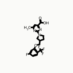 Cc1cc(C(=O)O)nc(N2CCC(COc3cc(F)ccc3C(F)(F)F)C2)n1